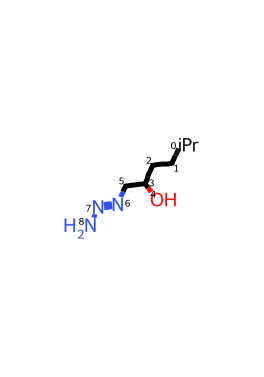 CC(C)CCC(O)CN=NN